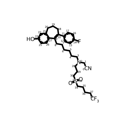 N#CCN(CCCCCCC1=C(c2ccc(F)cc2)CCCc2cc(O)ccc21)CCCS(=O)(=O)CCCCC(F)(F)F